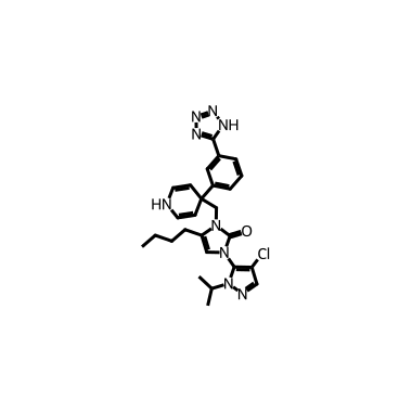 CCCCc1cn(-c2c(Cl)cnn2C(C)C)c(=O)n1CC1(c2cccc(-c3nnn[nH]3)c2)C=CNC=C1